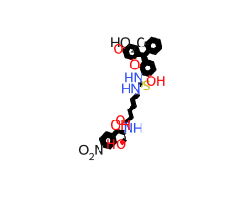 O=C(CCCCCNC(=S)Nc1c(O)ccc2c(-c3ccccc3C(=O)O)c3ccc(=O)cc-3oc12)N[C@H](CO)[C@@H](O)c1ccc([N+](=O)[O-])cc1